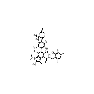 [2H]c1nc(N2CCN(C)CC2([2H])[2H])c([2H])c([2H])c1-c1c([2H])c(C(=O)NCc2c(C)cc(C)[nH]c2=O)c2c(C)c([2H])n(C(C)C)c2c1[2H]